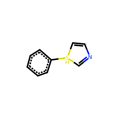 [C]1=C[SH](c2ccccc2)C=N1